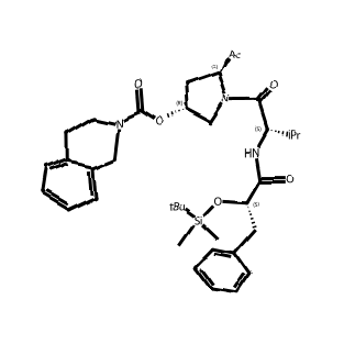 CC(=O)[C@@H]1C[C@@H](OC(=O)N2CCc3ccccc3C2)CN1C(=O)[C@@H](NC(=O)[C@H](Cc1ccccc1)O[Si](C)(C)C(C)(C)C)C(C)C